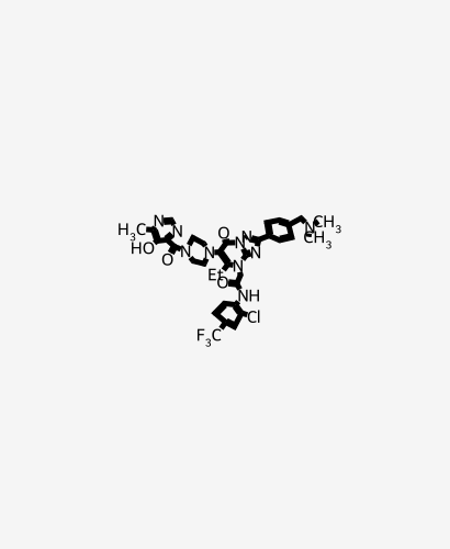 CCc1c(N2CCN(C(=O)c3ncnc(C)c3O)CC2)c(=O)n2nc(-c3ccc(CN(C)C)cc3)nc2n1CC(=O)Nc1ccc(C(F)(F)F)cc1Cl